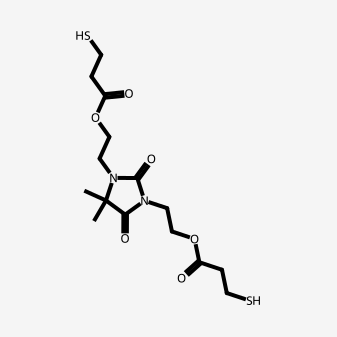 CC1(C)C(=O)N(CCOC(=O)CCS)C(=O)N1CCOC(=O)CCS